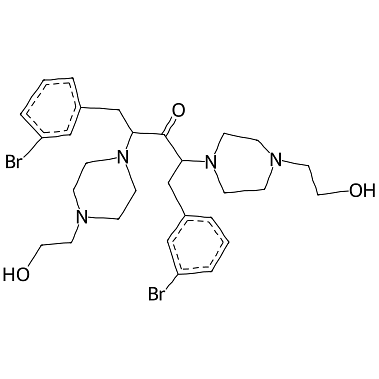 O=C(C(Cc1cccc(Br)c1)N1CCN(CCO)CC1)C(Cc1cccc(Br)c1)N1CCN(CCO)CC1